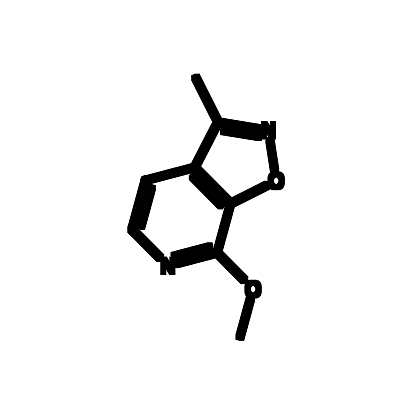 COc1nccc2c(C)noc12